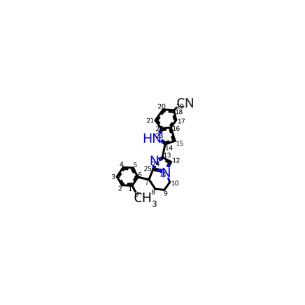 Cc1ccccc1C1CCCn2cc(-c3cc4cc(C#N)ccc4[nH]3)nc21